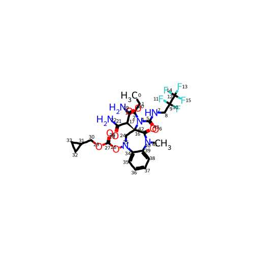 CCC(=O)N(C(=O)NCC(F)(F)C(F)(F)F)[C@@]1(C(C(N)=O)C(N)=O)CN(OC(=O)OCC2CC2)c2ccccc2N(C)C1=O